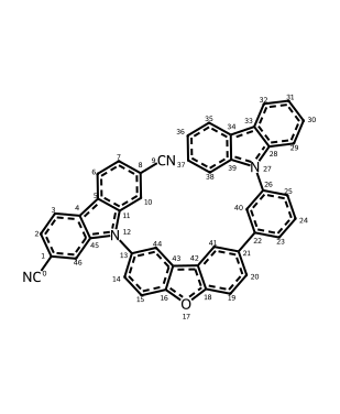 N#Cc1ccc2c3ccc(C#N)cc3n(-c3ccc4oc5ccc(-c6cccc(-n7c8ccccc8c8ccccc87)c6)cc5c4c3)c2c1